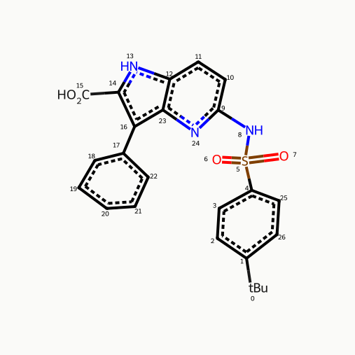 CC(C)(C)c1ccc(S(=O)(=O)Nc2ccc3[nH]c(C(=O)O)c(-c4ccccc4)c3n2)cc1